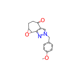 COc1ccc(Cn2cc3c(n2)C2OC2CCC3=O)cc1